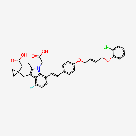 Cc1c(CC2(CC(=O)O)CC2)c2c(F)ccc(C=Cc3ccc(OC/C=C/COc4ccccc4Cl)cc3)c2n1CC(=O)O